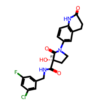 O=C1CCc2cc(N3CC[C@@](O)(C(=O)NCc4cc(F)cc(Cl)c4)C3=O)ccc2N1